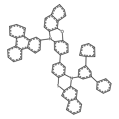 c1ccc(-c2cc(-c3ccccc3)cc(N3c4cc(-c5ccc6c(c5)N(c5ccc7c8ccccc8c8ccccc8c7c5)c5ccc7ccccc7c5O6)ccc4Sc4cc5ccccc5cc43)c2)cc1